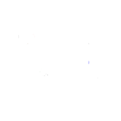 COCCOC(=O)C(C)Nc1cc(Oc2ccc(S(C)(=O)=O)cc2Cl)ccc1[N+](=O)[O-]